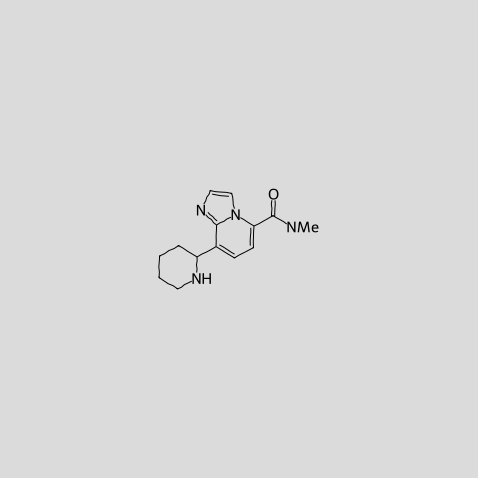 CNC(=O)c1ccc(C2CCCCN2)c2nccn12